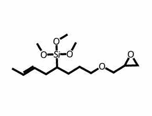 CC=CCC(CCCOCC1CO1)[Si](OC)(OC)OC